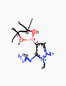 Cn1ncc(B2OC(C)(C)C(C)(C)O2)c1N